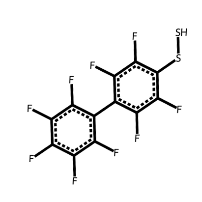 Fc1c(F)c(F)c(-c2c(F)c(F)c(SS)c(F)c2F)c(F)c1F